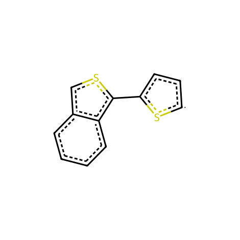 [c]1ccc(-c2scc3ccccc23)s1